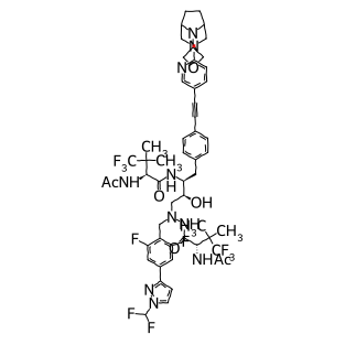 CC(=O)N[C@H](C(=O)N[C@@H](Cc1ccc(C#Cc2ccc(N3CC4CCC(C3)N4C3COC3)nc2)cc1)[C@@H](O)CN(Cc1c(F)cc(-c2ccn(C(F)F)n2)cc1F)NC(=O)[C@@H](NC(C)=O)C(C)(C)C(F)(F)F)C(C)(C)C(F)(F)F